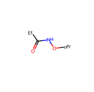 CCCONC(=O)CC